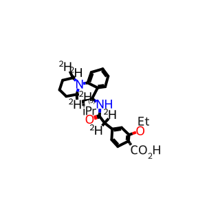 [2H]C([2H])(C(=O)N[C@@H](CC(C)C)c1ccccc1N1C([2H])([2H])CCCC1([2H])[2H])c1ccc(C(=O)O)c(OCC)c1